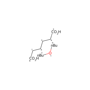 CCCCOCCCC.O=C(O)CCCCC(=O)O